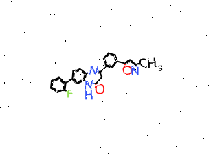 Cc1cc(-c2cccc(C3=Nc4ccc(-c5ccccc5F)cc4NC(=O)C3)c2)on1